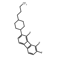 Fc1ccc2c(c1F)-c1c-2ccc(C2CCC(CCCC(F)(F)F)CC2)c1F